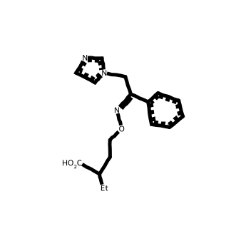 CCC(CCO/N=C(/Cn1ccnc1)c1ccccc1)C(=O)O